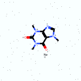 Cn1c(=O)c2c(ncn2C)n(C)c1=O.[Na]